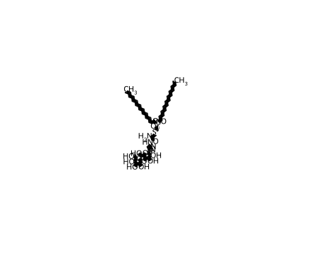 CCCCCCCCCCCCCCCCC(=O)OC[C@H](CSC[C@@H](N)C(=O)Nc1cn([C@@H]2OC(CO)C(OC3OC(CO)C(O)C(O)C3O)C(O)C2O)nn1)OC(=O)CCCCCCCCCCCCCCCC